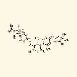 Cc1cc(OCCC(C)(O)C(F)F)nc(C)c1-c1cc(COc2cc3c(cn2)[C@@H]2[C@@H](C3)[C@@H]2C(=O)O)c(F)cc1F